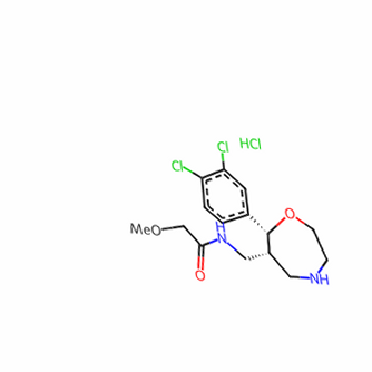 COCC(=O)NC[C@H]1CNCCO[C@H]1c1ccc(Cl)c(Cl)c1.Cl